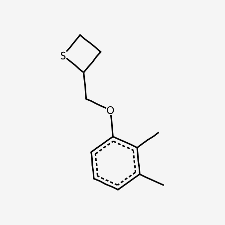 Cc1cccc(OCC2CCS2)c1C